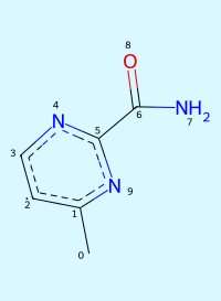 Cc1[c]cnc(C(N)=O)n1